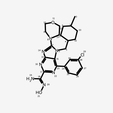 CC1CCC(Cn2c(N3CCOCC3)nc3nc(C(N)=NO)nc(-c4cccc(Cl)c4)c32)CC1